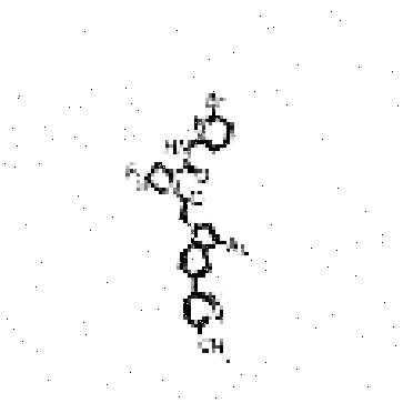 CC(=O)c1cn(CC(=O)N2C[C@H](F)C[C@H]2C(=O)Nc2cccc(Br)n2)c2ccc(-c3ccc(C)nn3)cc12